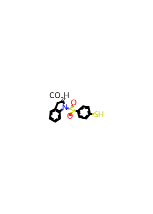 O=C(O)[C@H]1Cc2ccccc2N1S(=O)(=O)c1ccc(S)cc1